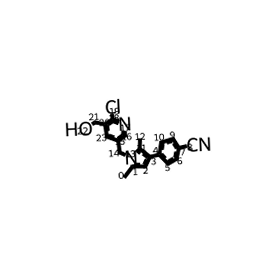 Cc1cc(-c2ccc(C#N)cc2)c(C)n1Cc1cnc(Cl)c(CO)c1